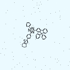 c1ccc(-c2nc(-c3ccc(-c4cc5c(s4)CCCC5)cc3)nc(-c3ccc4c(c3)C(c3ccccc3)(c3ccccc3)c3ccccc3-4)n2)cc1